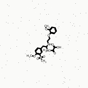 COc1ccccc1OCCNC(C)Cc1ccc(OC)c(S(C)(=O)=O)c1.O=C(O)C(=O)O